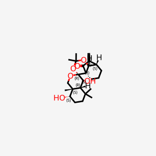 C=C1C(=O)[C@@]23CCC[C@@H]1[C@H]2OC(C)(C)O[C@]31OC[C@]2(C)[C@H]([C@@H]1O)C(C)(C)CC[C@@H]2O